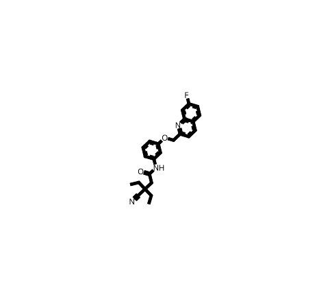 CCC(C#N)(CC)CC(=O)Nc1cccc(OCc2ccc3ccc(F)cc3n2)c1